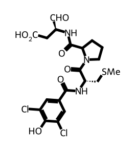 CSC[C@H](NC(=O)c1cc(Cl)c(O)c(Cl)c1)C(=O)N1CCCC1C(=O)N[C@H](C=O)CC(=O)O